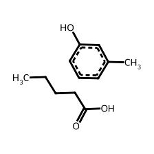 CCCCC(=O)O.Cc1cccc(O)c1